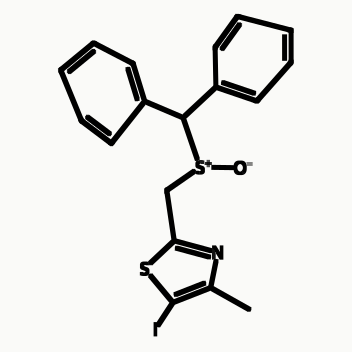 Cc1nc(C[S+]([O-])C(c2ccccc2)c2ccccc2)sc1I